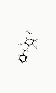 N[C@@H]1O[C@H](CO)[C@@H](O)[C@H](O)[C@H]1OCc1ccccc1